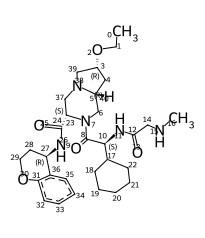 CCO[C@@H]1C[C@@H]2CN(C(=O)[C@@H](NC(=O)CNC)C3CCCCC3)[C@H](C(=O)N[C@@H]3CCOc4ccccc43)CN2C1